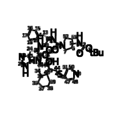 CC(C)(C)OC(=O)NC1CCN(C(=O)N[C@@H](Cc2ccccc2)C(=O)N[C@@H](Cc2c[nH]cn2)C(=O)N[C@@H](CC2CCCCC2)[C@@H](O)CCSc2ccncc2)CC1